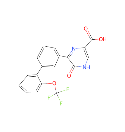 O=C(O)c1c[nH]c(=O)c(-c2cccc(-c3ccccc3OC(F)(F)F)c2)n1